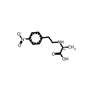 C[C@H](NCCc1ccc([N+](=O)[O-])cc1)C(=O)O